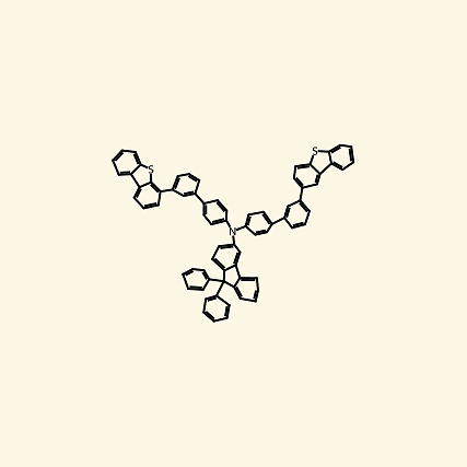 c1ccc(C2(c3ccccc3)c3ccccc3-c3cc(N(c4ccc(-c5cccc(-c6ccc7sc8ccccc8c7c6)c5)cc4)c4ccc(-c5cccc(-c6cccc7c6sc6ccccc67)c5)cc4)ccc32)cc1